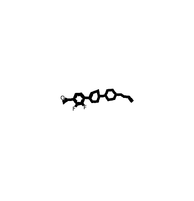 C=CCCC1CCC(C2CC=C(c3ccc(C4CO4)c(F)c3F)CC2)CC1